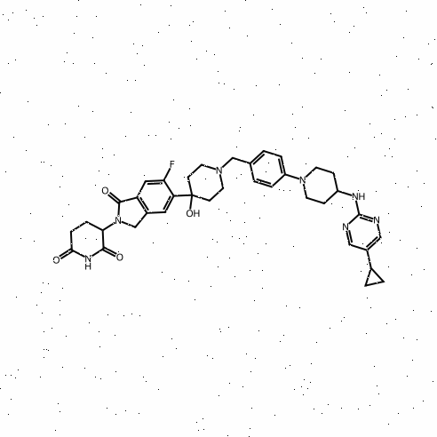 O=C1CCC(N2Cc3cc(C4(O)CCN(Cc5ccc(N6CCC(Nc7ncc(C8CC8)cn7)CC6)cc5)CC4)c(F)cc3C2=O)C(=O)N1